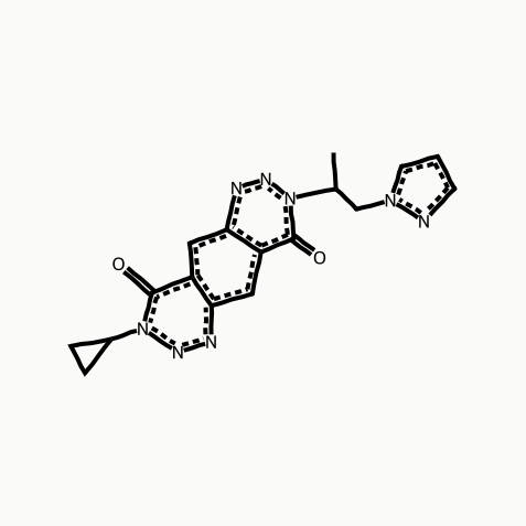 CC(Cn1cccn1)n1nnc2cc3c(=O)n(C4CC4)nnc3cc2c1=O